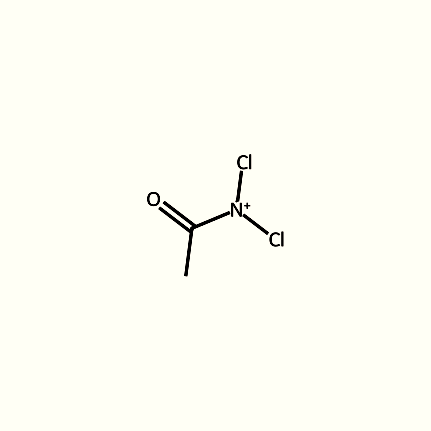 CC(=O)[N+](Cl)Cl